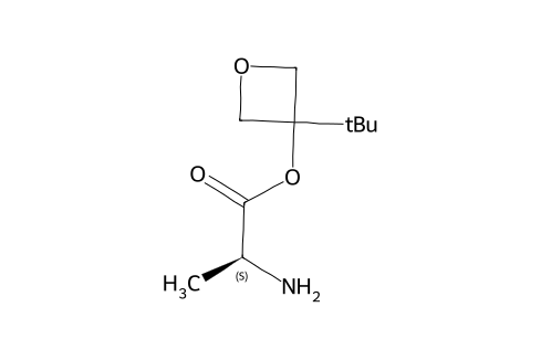 C[C@H](N)C(=O)OC1(C(C)(C)C)COC1